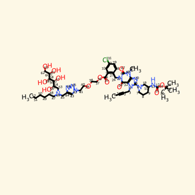 CC#CCn1c(N2CCCC(NC(=O)OC(C)(C)C)C2)nc2c1c(=O)n(Cc1ccc(Cl)cc1C(=O)OCCOCCn1cc(CN(CCCCCC)C[C@H](O)[C@@H](O)[C@H](O)[C@H](O)CO)nn1)c(=O)n2C